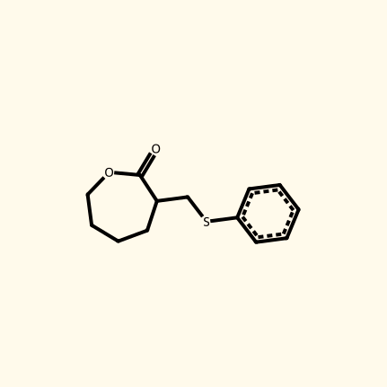 O=C1OCCCCC1CSc1ccccc1